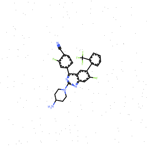 N#Cc1ccc(-c2nc(N3CCC(N)CC3)nc3cc(F)c(-c4ccccc4C(F)(F)F)cc23)cc1F